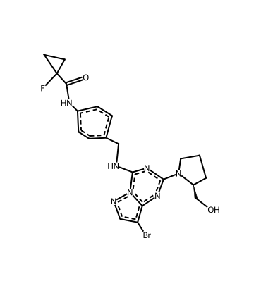 O=C(Nc1ccc(CNc2nc(N3CCC[C@H]3CO)nc3c(Br)cnn23)cc1)C1(F)CC1